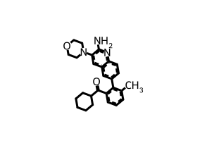 Cc1cccc(C(=O)C2CCCCC2)c1-c1ccc2nc(N)c(N3CCOCC3)cc2c1